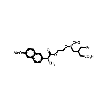 COc1ccc2cc([C@H](C)C(=O)OCCON(C=O)C[C@H](CC(=O)O)CC(C)C)ccc2c1